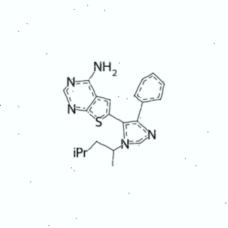 CC(C)CC(C)n1cnc(-c2ccccc2)c1-c1cc2c(N)ncnc2s1